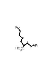 CC(C)CCCCC(CCC(C)C)C(=O)O